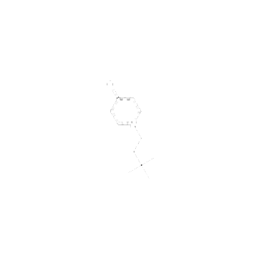 CC(C)(C)CCn1ccc(=O)cc1